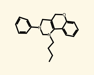 CCCCN1CN(c2ccccc2)CC2=C1c1ccccc1OC2